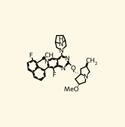 C#Cc1c(F)ccc2cccc(-c3ncc4c(N5CC6CCC(C5)N6)nc(OC[C@]56CC(=C)CN5C[C@H](OC)C6)nc4c3F)c12